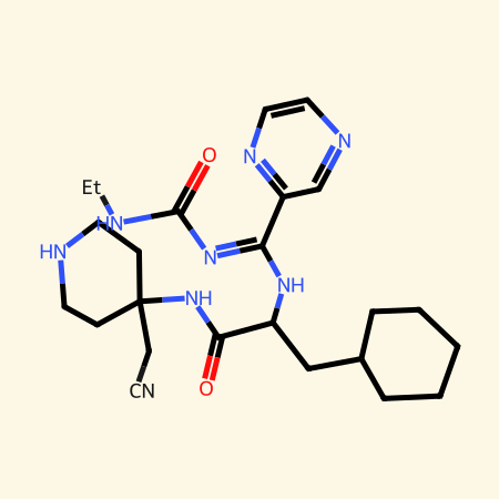 CCNC(=O)N=C(NC(CC1CCCCC1)C(=O)NC1(CC#N)CCNCC1)c1cnccn1